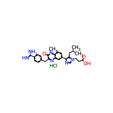 CC(C)Cc1c(-c2ccc3c(c2)nc(Cc2ccc(C(=N)N)cc2)c(=O)n3C)ncn1CCC(=O)O.Cl